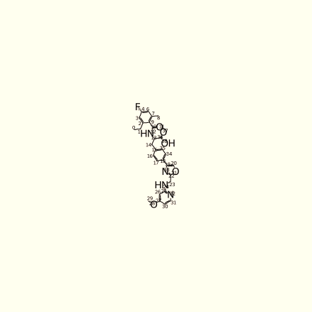 CCc1cc(F)cc(C)c1C(=O)NC(Cc1ccc(-c2coc(CNc3cc(OC)ccn3)n2)cc1)C(=O)O